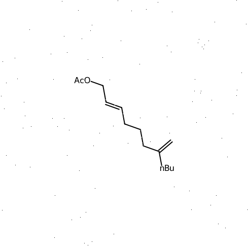 C=C(CCCC)CCCC=CCOC(C)=O